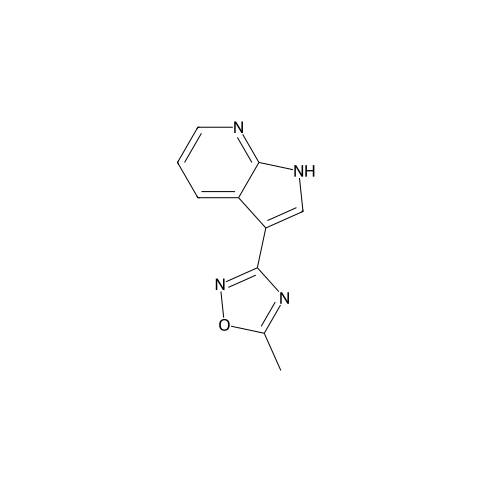 Cc1nc(-c2c[nH]c3ncccc23)no1